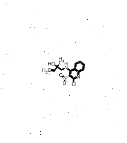 C=CC(C)(O)CNc1c([N+](=O)[O-])c(Cl)nc2ccccc12